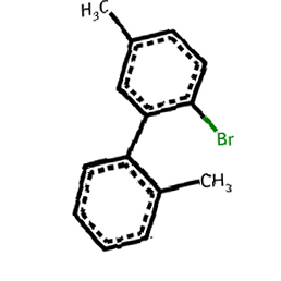 Cc1ccc(Br)c(-c2ccc[c]c2C)c1